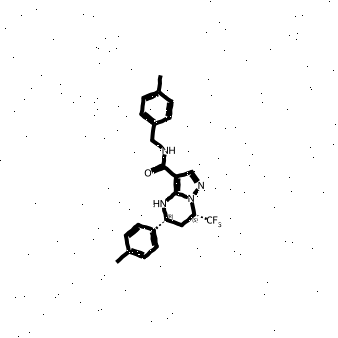 Cc1ccc(CNC(=O)c2cnn3c2N[C@@H](c2ccc(C)cc2)C[C@H]3C(F)(F)F)cc1